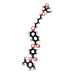 CCC1(COCCCCCCOc2ccc3cc(C(=O)Oc4ccc(C(=O)OC5CC(C)CCC5C(C)C)cc4)ccc3c2)COC1